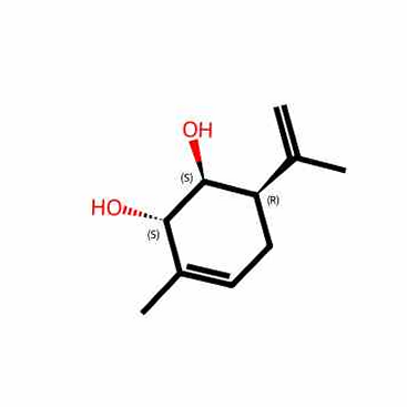 C=C(C)[C@H]1CC=C(C)[C@H](O)[C@H]1O